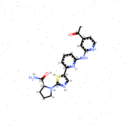 CC(=O)c1ccnc(Nc2cccc(-c3cnc(N4CCC[C@H]4C(N)=O)s3)n2)c1